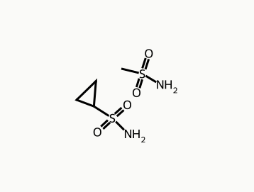 CS(N)(=O)=O.NS(=O)(=O)C1CC1